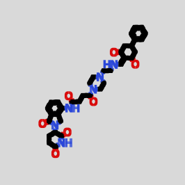 O=C1CCC(N2Cc3c(NC(=O)CCC(=O)N4CCN(CCNC=C5C(=O)CC(c6ccccc6)CC5=O)CC4)cccc3C2=O)C(=O)N1